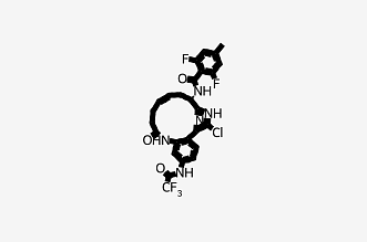 Cc1cc(F)c(C(=O)N[C@H]2CC=CCCC(=O)Nc3cc(NC(=O)C(F)(F)F)ccc3-c3nc2[nH]c3Cl)c(F)c1